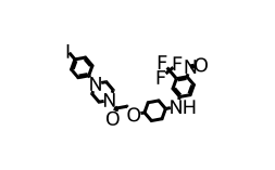 O=Nc1ccc(NC2CCC(OCC(=O)N3CCN(c4ccc(I)cc4)CC3)CC2)cc1C(F)(F)F